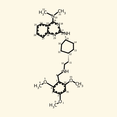 COc1cc(OC)c(CNCC[C@H]2CC[C@@H](Nc3nc(N(C)C)c4ccccc4n3)CC2)c(OC)c1